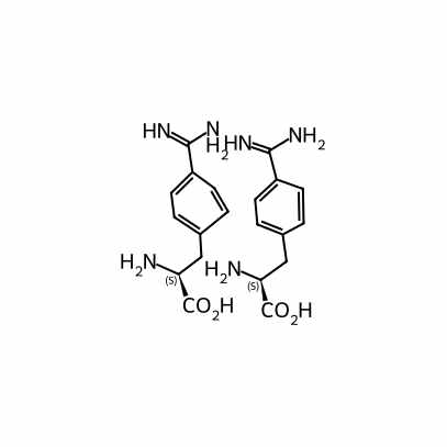 N=C(N)c1ccc(C[C@H](N)C(=O)O)cc1.N=C(N)c1ccc(C[C@H](N)C(=O)O)cc1